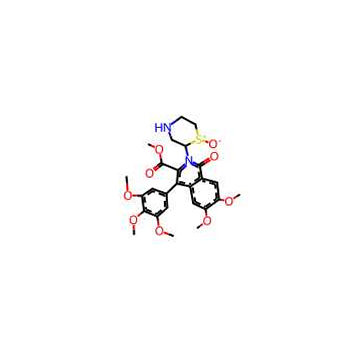 COC(=O)c1c(-c2cc(OC)c(OC)c(OC)c2)c2cc(OC)c(OC)cc2c(=O)n1C1CNCC[S+]1[O-]